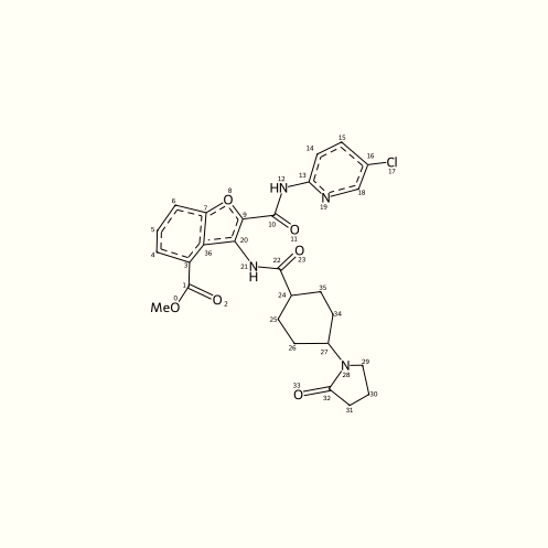 COC(=O)c1cccc2oc(C(=O)Nc3ccc(Cl)cn3)c(NC(=O)C3CCC(N4CCCC4=O)CC3)c12